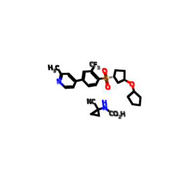 Cc1cc(-c2ccc(S(=O)(=O)[C@@H]3CC[C@@H](OC4CCCC4)C3)c(C(F)(F)F)c2)ccn1.N#CC1(NC(=O)O)CC1